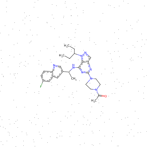 CCC(CC)n1ncc2nc(N3CCN(C(C)=O)CC3)nc(NC(C)c3cnc4ccc(F)cc4c3)c21